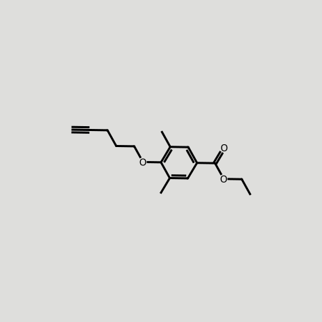 C#CCCCOc1c(C)cc(C(=O)OCC)cc1C